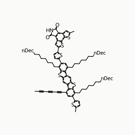 CC#CC#CC#Cc1cc(-c2ccc(C)s2)c(CCCCCCCCCCCCCCCCC)c2sc3cc4c(cc3c12)sc1c(CCCCCCCCCCCCCCCCC)c(-c2ccc(-c3cc5c6c(c7cc(C)sc7c5s3)C(=O)NC6=O)s2)cc(CCCCCCCCCCCCCCCCC)c14